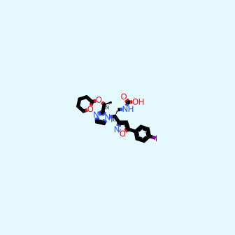 C[C@H](OC1CCCCO1)c1nccn1[C@H](CNC(=O)O)c1cc(-c2ccc(I)cc2)on1